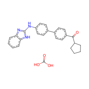 O=C(O)O.O=C(c1ccc(-c2ccc(Nc3nc4ccccc4[nH]3)cc2)cc1)C1CCCC1